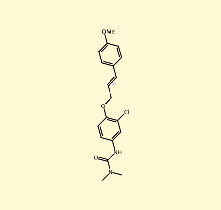 COc1ccc(/C=C/COc2ccc(NC(=O)N(C)C)cc2Cl)cc1